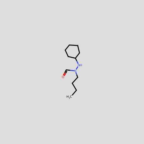 CCCCN(C=O)NC1CCCCC1